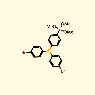 CO[Si](OC)(OC)c1ccc(P(c2ccc(Br)cc2)c2ccc(Br)cc2)cc1